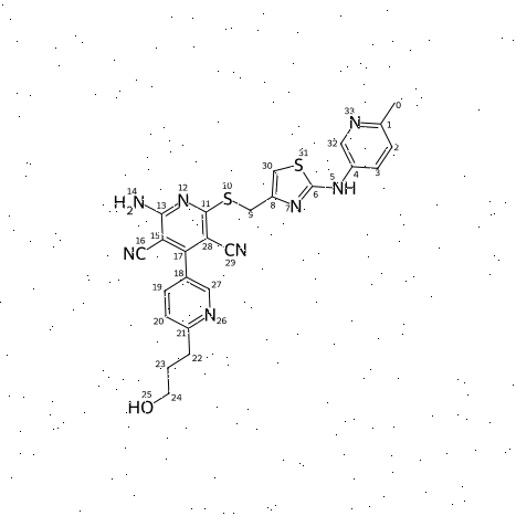 Cc1ccc(Nc2nc(CSc3nc(N)c(C#N)c(-c4ccc(CCCO)nc4)c3C#N)cs2)cn1